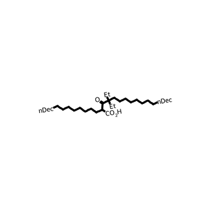 CCCCCCCCCCCCCCCCCCC(C(=O)O)C(=O)C(CC)(CC)CCCCCCCCCCCCCCCCCC